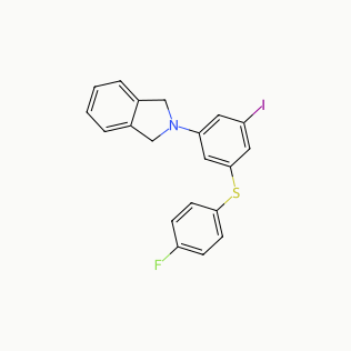 Fc1ccc(Sc2cc(I)cc(N3Cc4ccccc4C3)c2)cc1